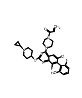 C=CC(=O)N1CCN(c2nc(OC3CCN(C4CC4)CC3)nc3c(F)c(-c4c(O)cccc4F)c(Cl)cc23)CC1